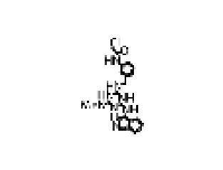 CNC1NC(NCc2cccc(NC(=O)CCl)c2)NC(Nc2cncc3ccccc23)N1